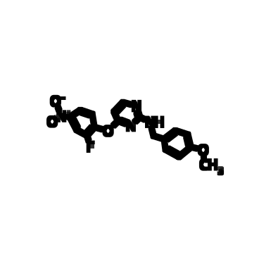 COc1ccc(CNc2nccc(Oc3ccc([N+](=O)[O-])cc3F)n2)cc1